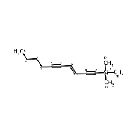 CCCCC#C/C=C/C#C[Si](C)(C)C